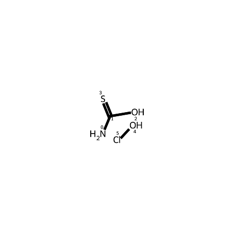 NC(O)=S.OCl